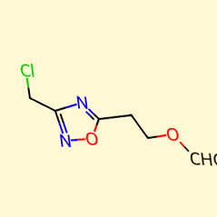 O=COCCc1nc(CCl)no1